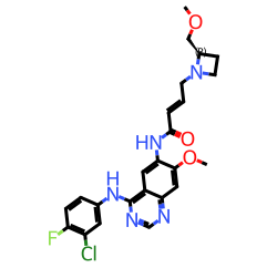 COC[C@H]1CCN1CC=CC(=O)Nc1cc2c(Nc3ccc(F)c(Cl)c3)ncnc2cc1OC